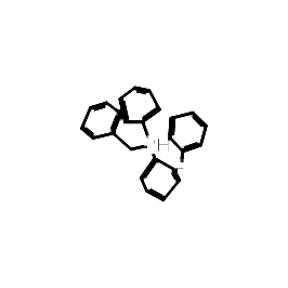 Fc1ccccc1[PH](Cc1ccccc1)(c1ccccc1)c1ccccc1